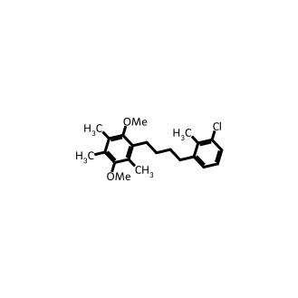 COc1c(C)c(C)c(OC)c(CCCCc2cccc(Cl)c2C)c1C